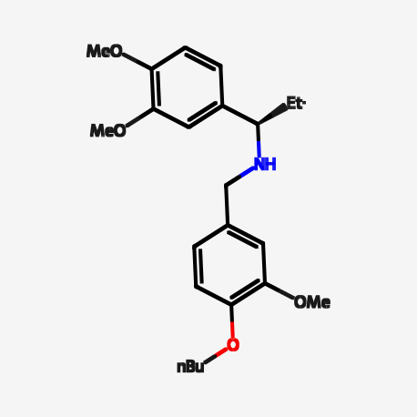 C[CH][C@@H](NCc1ccc(OCCCC)c(OC)c1)c1ccc(OC)c(OC)c1